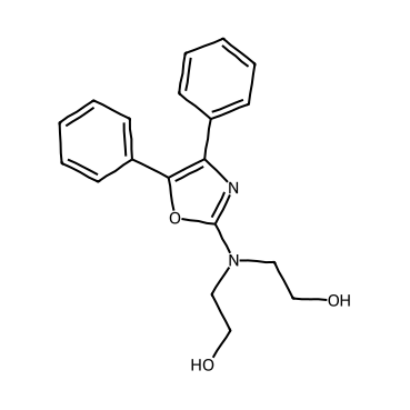 OCCN(CCO)c1nc(-c2ccccc2)c(-c2ccccc2)o1